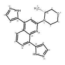 C[C@@H]1COCCN1c1cc(-c2ccn[nH]2)c2ccnc(-c3ccn[nH]3)c2n1